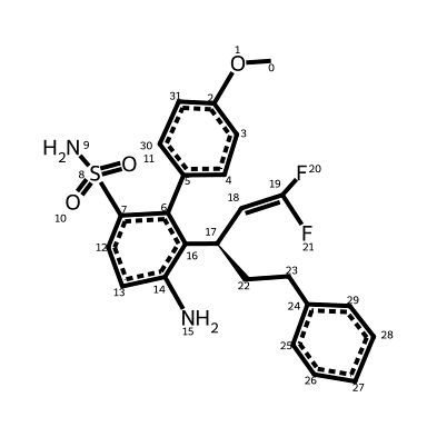 COc1ccc(-c2c(S(N)(=O)=O)ccc(N)c2[C@@H](C=C(F)F)CCc2ccccc2)cc1